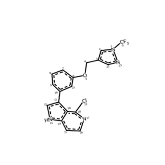 FC(F)(F)n1cc(COc2cccc(-c3c[nH]c4ccnc(Cl)c34)c2)cn1